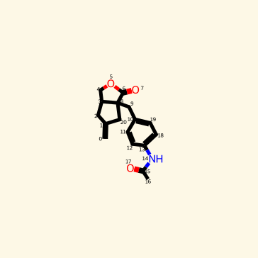 C=C1CC2COC(=O)C2(Cc2ccc(NC(C)=O)cc2)C1